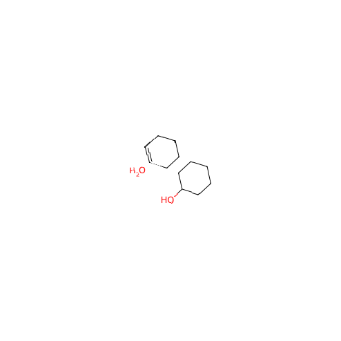 C1=CCCCC1.O.OC1CCCCC1